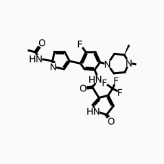 CC(=O)Nc1ccc(-c2cc(NC(=O)c3c[nH]c(=O)cc3C(F)(F)F)c(N3CCN(C)[C@H](C)C3)cc2F)cn1